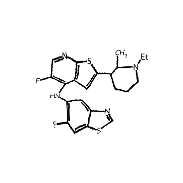 CCN1CCCC(c2cc3c(Nc4cc5ncsc5cc4F)c(F)cnc3s2)C1C